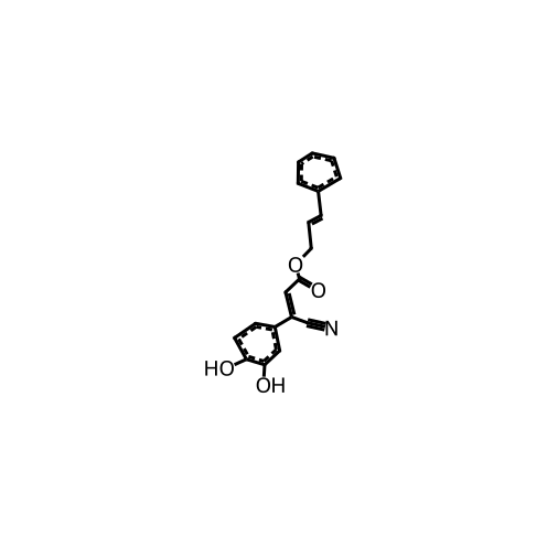 N#CC(=CC(=O)OCC=Cc1ccccc1)c1ccc(O)c(O)c1